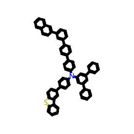 c1ccc(-c2cc(-c3ccccc3)cc(N(c3ccc(-c4ccc(-c5cccc(-c6ccc7ccccc7c6)c5)cc4)cc3)c3ccc(-c4ccc5sc6ccccc6c5c4)cc3)c2)cc1